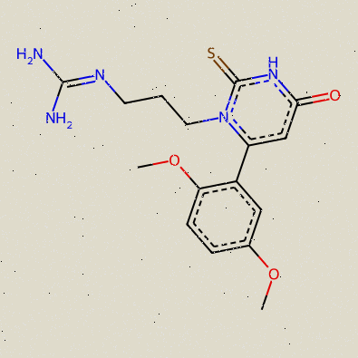 COc1ccc(OC)c(-c2cc(=O)[nH]c(=S)n2CCCN=C(N)N)c1